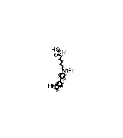 CCCN(CCCCCCC(=O)NO)c1ccc(-c2ccc3cc[nH]c3c2)cc1